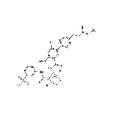 COc1cc(F)c(-c2ncc(CCC(=O)OC(C)(C)C)cn2)cc1C(=O)N[C@@H]1[C@H]2CC[C@H](C2)[C@@H]1C(=O)Nc1cccc(S(=O)(=O)C(F)(F)F)c1